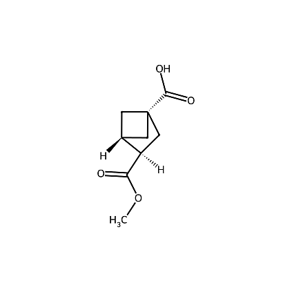 COC(=O)[C@@H]1C[C@]2(C(=O)O)C[C@@H]1C2